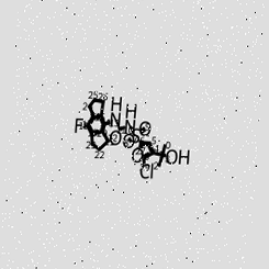 CC(C)(O)c1cc(S(=O)(=O)NC(=O)Nc2c3c(c(F)c4c2CCC4)CCC3)oc1Cl